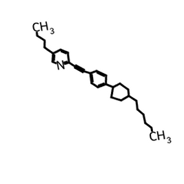 CCCCCCC1CCC(c2ccc(C#Cc3ccc(CCCC)cn3)cc2)CC1